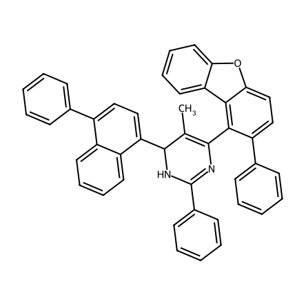 CC1=C(c2c(-c3ccccc3)ccc3oc4ccccc4c23)N=C(c2ccccc2)NC1c1ccc(-c2ccccc2)c2ccccc12